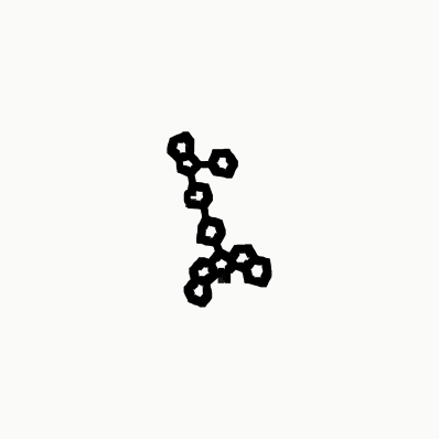 C1=C(c2ccc(-c3ccc(-c4c5ccc6ccccc6c5nc5c4ccc4ccccc45)cc3)cc2)C(c2ccccc2)c2ccccc21